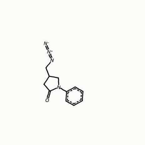 [N-]=[N+]=NCC1CC(=O)N(c2ccccc2)C1